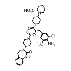 Nc1c(Cl)cc(C[C@@H](OC(=O)N2CCC(N3CCc4ccccc4NC3=O)CC2)C(=O)N2CCC(N3CCCC[C@H]3C(=O)O)CC2)cc1C(F)(F)F